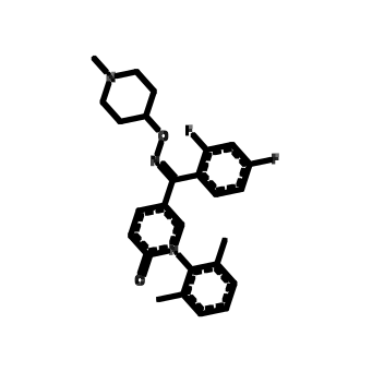 Cc1cccc(C)c1-n1cc(C(=NOC2CCN(C)CC2)c2ccc(F)cc2F)ccc1=O